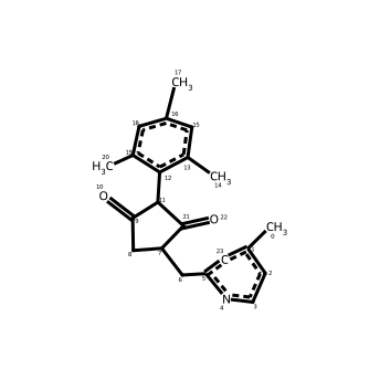 Cc1ccnc(CC2CC(=O)C(c3c(C)cc(C)cc3C)C2=O)c1